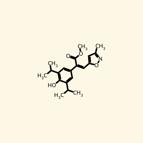 COC(=O)C(=Cc1cc(C)no1)c1cc(C(C)C)c(O)c(C(C)C)c1